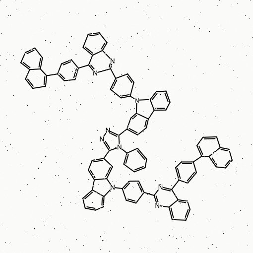 c1ccc(-n2c(-c3ccc4c5ccccc5n(-c5ccc(-c6nc(-c7ccc(-c8cccc9ccccc89)cc7)c7ccccc7n6)cc5)c4c3)nnc2-c2ccc3c4ccccc4n(-c4ccc(-c5nc(-c6ccc(-c7cccc8ccccc78)cc6)c6ccccc6n5)cc4)c3c2)cc1